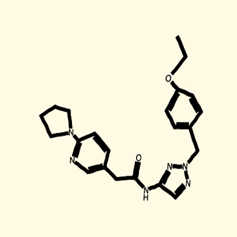 CCOc1ccc(Cn2ncc(NC(=O)Cc3ccc(N4CCCC4)nc3)n2)cc1